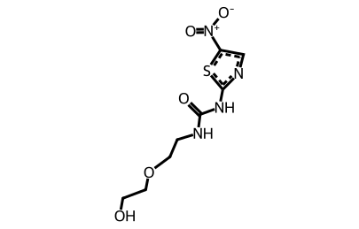 O=C(NCCOCCO)Nc1ncc([N+](=O)[O-])s1